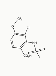 CS(=O)(=O)Nc1c(C(=O)O)ccc(OC(F)(F)F)c1Cl